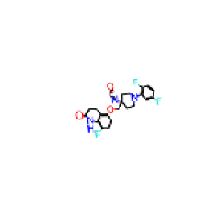 O=C=NC1(COc2ccc(F)c3c2CCC(=O)N3)CCN(c2cc(F)ccc2F)CC1